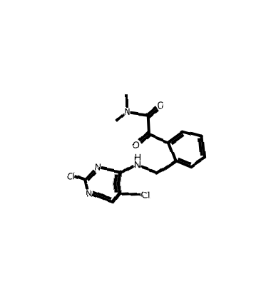 CN(C)C(=O)C(=O)c1ccccc1CNc1nc(Cl)ncc1Cl